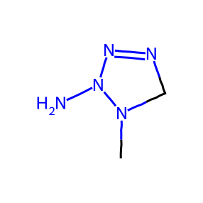 CN1CN=NN1N